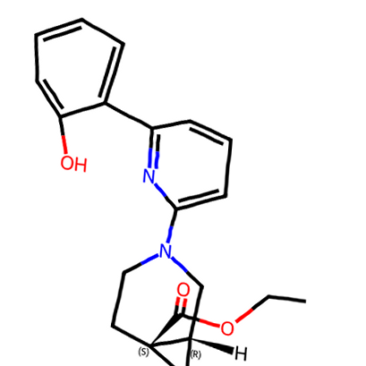 CCOC(=O)[C@@]12CCN(c3cccc(-c4ccccc4O)n3)C[C@@H]1C2